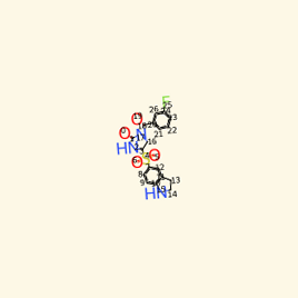 O=C1NC(S(=O)(=O)c2ccc3c(c2)CCN3)CN1C(=O)c1cccc(F)c1